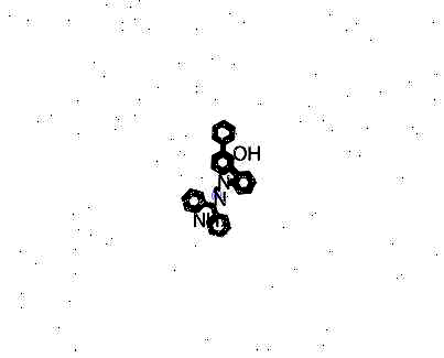 Nc1ccccc1C(/N=C/n1c2ccccc2c2c(O)c(C3=CC=CCC3)ccc21)C1=CCCC=C1